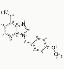 COc1ccc(Cn2cnc3c(CCl)ccnc32)cc1